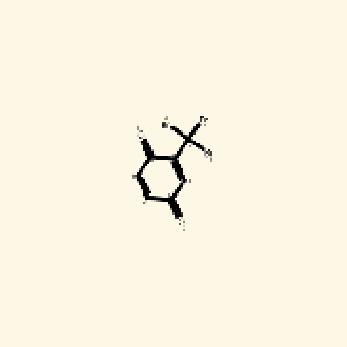 O=C1C=CC(=O)C(C(Br)(Br)Br)=C1